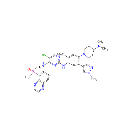 COc1cc(N2CCC(N(C)C)CC2)c(-c2cnn(C)c2)cc1Nc1ncc(Br)c(Nc2ccc3nccnc3c2P(C)(C)=O)n1